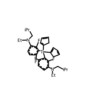 CCN(CC(C)C)c1ccc(F)[c]([Ti]([C]2=CC=CC2)([C]2=CC=CC2)[c]2c(F)ccc(N(CC)CC(C)C)c2F)c1F